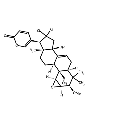 CO[C@H]1[C@H]2O[C@H]2[C@]2(CO)[C@H]3CC[C@]4(C)[C@@H](c5ccc(=O)oc5)C(Cl)(Cl)C[C@]4(O)C3=CC[C@H]2C1(C)C